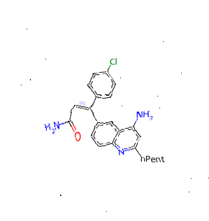 CCCCCc1cc(N)c2cc(/C(=C\C(N)=O)c3ccc(Cl)cc3)ccc2n1